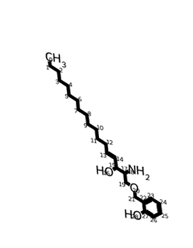 CCCCCCCCCCCCC/C=C/C(O)C(N)COCc1ccccc1O